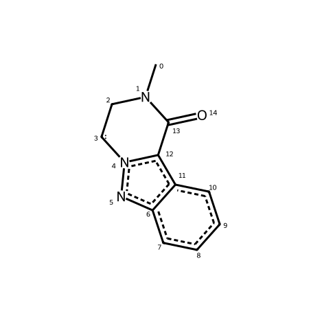 CN1C[C]n2nc3ccccc3c2C1=O